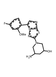 COc1cc(F)ccc1-c1cnc2sc(N3CC(N)CC(O)C3)nn12